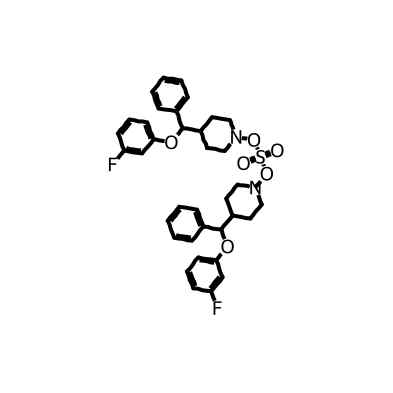 O=S(=O)(ON1CCC(C(Oc2cccc(F)c2)c2ccccc2)CC1)ON1CCC(C(Oc2cccc(F)c2)c2ccccc2)CC1